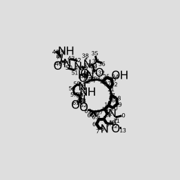 CCn1c(-c2cccnc2[C@H](C)OC)c2c3cc(ccc31)-c1cc(O)cc(c1)C[C@H](NC(=O)[C@H](C(C)C)N(C)C(=O)N1CCN(C(=O)[C@H]3CN3)CC1)C(=O)N1CCC[C@H](N1)C(=O)OCC(C)(C)C2